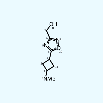 CNC1CC(c2nc(CO)no2)C1